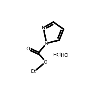 CCOC(=O)n1cccn1.Cl.Cl